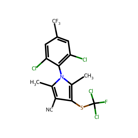 Cc1c(C#N)c(SC(F)(Cl)Cl)c(C)n1-c1c(Cl)cc(C(F)(F)F)cc1Cl